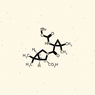 CC(C)(C)OC(=O)NC1(C(=O)N2C[C@H]3[C@@H]([C@H]2C(=O)O)C3(C)C)CC1(C)C